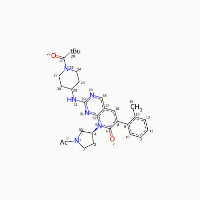 CC(=O)N1CC[C@H](n2c(=O)c(-c3ccccc3C)cc3cnc(NC4CCN(C(=O)C(C)(C)C)CC4)nc32)C1